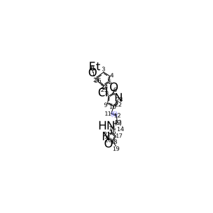 CCOc1ccc(Oc2ccc(/C=C/[C@H](C)Nc3cc(C)on3)cn2)c(Cl)c1